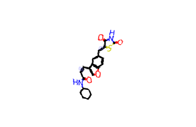 O=C(/C=C\c1coc2ccc(/C=C3\SC(=O)NC3=O)cc12)NC1CCCCC1